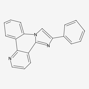 c1ccc(-c2cn3c4ccccc4c4ncccc4c3n2)cc1